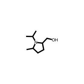 CC(C)N1C(C)CCC1CO